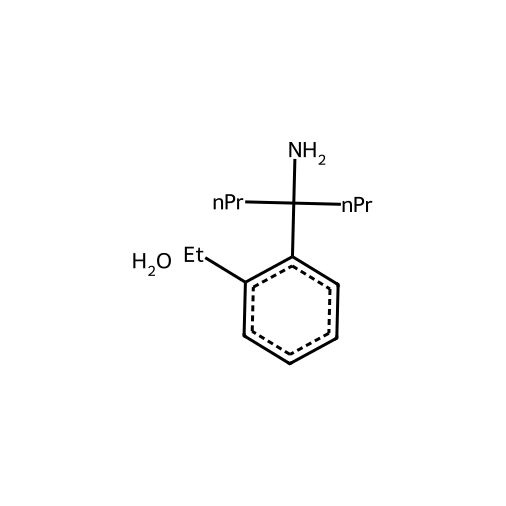 CCCC(N)(CCC)c1ccccc1CC.O